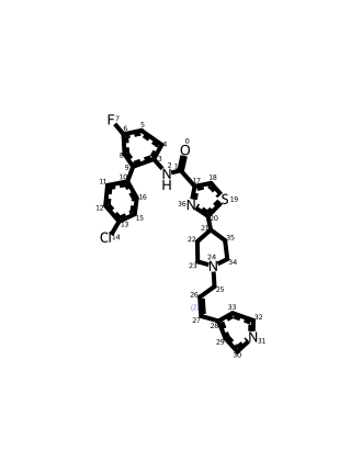 O=C(Nc1ccc(F)cc1-c1ccc(Cl)cc1)c1csc(C2CCN(C/C=C\c3ccncc3)CC2)n1